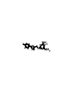 Cc1ccc(-c2nc(CSc3nc(N)cc(N)n3)cs2)cc1